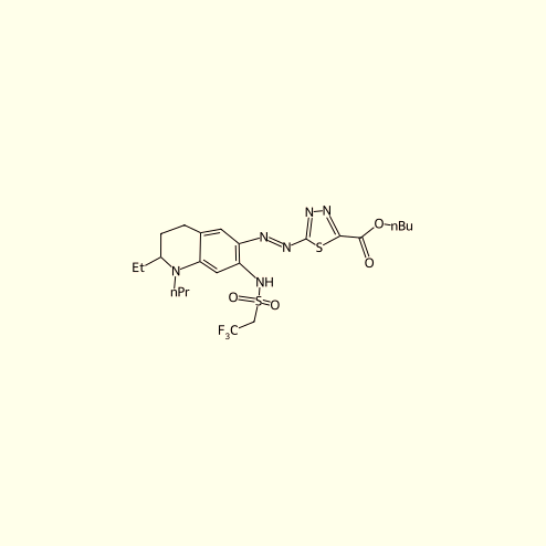 CCCCOC(=O)c1nnc(N=Nc2cc3c(cc2NS(=O)(=O)CC(F)(F)F)N(CCC)C(CC)CC3)s1